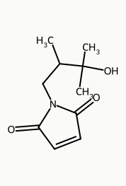 CC(CN1C(=O)C=CC1=O)C(C)(C)O